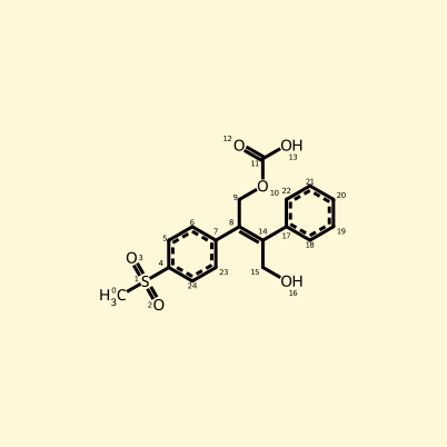 CS(=O)(=O)c1ccc(C(COC(=O)O)=C(CO)c2ccccc2)cc1